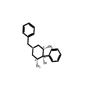 C[C@@H]1CN(Cc2ccccc2)C[C@H](C)[C@@]1(O)c1ccccc1